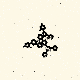 Cc1ccc(-c2ccc3c(c2)c2ccccc2n3-c2ccccc2-c2ccc(-c3cc(-c4ccccc4)nc(-c4ccccc4)n3)cc2-n2c3ccccc3c3cc(-c4ccc(C)cc4C)ccc32)c(C)c1